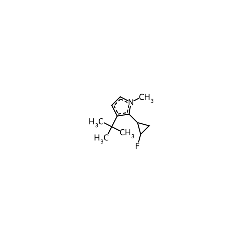 Cn1ccc(C(C)(C)C)c1C1CC1F